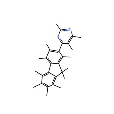 Cc1nc(C)c(C)c(-c2c(C)c(C)c3c(c2C)C(C)(C)c2c(C)c(C)c(C)c(C)c2-3)n1